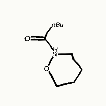 CCCCC(=O)[SiH]1CCCCO1